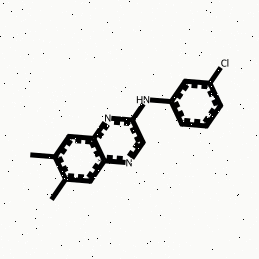 Cc1cc2ncc(Nc3cccc(Cl)c3)nc2cc1C